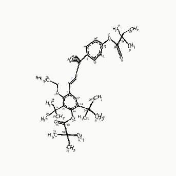 CCOc1c(/C=C/C(=O)c2ccc(OC(=O)C(C)(C)C)cc2)cc(C(C)(C)C)c(OC(=O)C(C)(C)C)c1C(C)(C)C